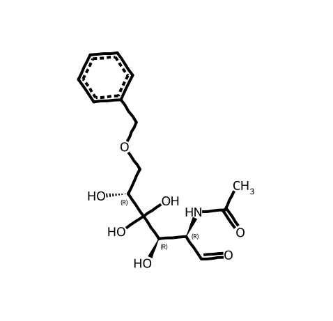 CC(=O)N[C@@H](C=O)[C@@H](O)C(O)(O)[C@H](O)COCc1ccccc1